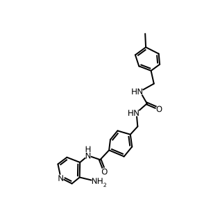 Cc1ccc(CNC(=O)NCc2ccc(C(=O)Nc3ccncc3N)cc2)cc1